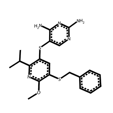 COc1nc(C(C)C)c(Sc2cnc(N)nc2N)cc1SCc1ccccc1